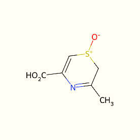 CC1=NC(C(=O)O)=C[S+]([O-])C1